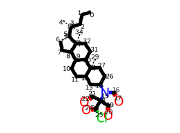 CCC[C@@H](C)[C@H]1CCC2C3CCC4CC(N(C=O)C(C=O)(C=O)C(=O)Cl)CC[C@]4(C)C3CC[C@@]21C